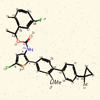 COc1cc(-c2sc(F)cc2NC(=O)OC(C)c2cc(F)ccc2C)ccc1-c1ccc(C2(C(C)=O)CC2)cc1